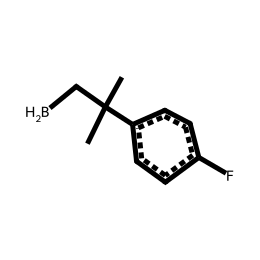 BCC(C)(C)c1ccc(F)cc1